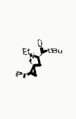 CCN1C[C@@]2(CC2C(C)C)C[C@H]1C(=O)C(C)(C)C